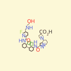 O=C(Nc1cccc(-c2cccc(NC(=O)c3cc4n(n3)CCCC4N3CC[C@@H](C(=O)O)C3)c2Cl)c1Cl)c1ccc(CNCCO)c(F)n1